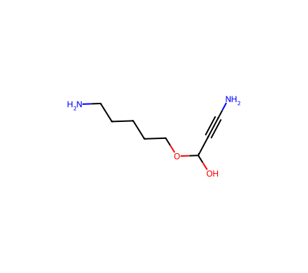 NC#C[C](O)OCCCCCN